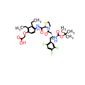 CCc1c(NC(=O)C2SCCN2C(=O)C[C@@H](Cc2cc(F)c(F)cc2F)NC(=O)OC(C)(C)C)ccc(OCC(=O)O)c1CC